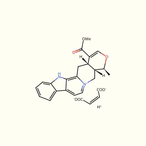 COC(=O)C1=CO[C@@H](C)[C@@H]2C[n+]3ccc4c([nH]c5ccccc54)c3C[C@H]12.O=C([O-])/C=C\C(=O)[O-].[H+]